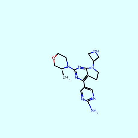 C[C@H]1COCCN1c1nc(-c2cnc(N)nc2)c2c(n1)N(C1CNC1)CC2